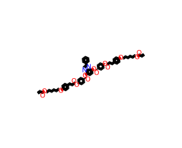 C=CC(=O)OCCCCCCOc1ccc(CCC(=O)O[C@H]2CC[C@H](C(=O)Oc3ccc(OC(=O)[C@H]4CC[C@H](OC(=O)CCc5ccc(OCCCCCCOC(=O)C=C)cc5)CC4)c4nc(-c5ccccc5)cnc34)CC2)cc1